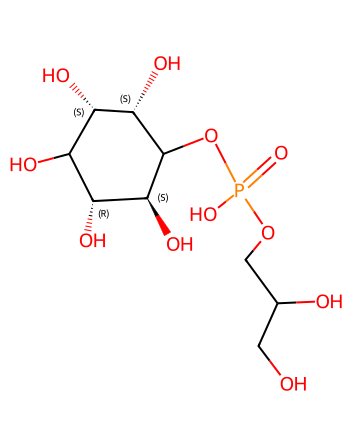 O=P(O)(OCC(O)CO)OC1[C@@H](O)[C@H](O)C(O)[C@H](O)[C@@H]1O